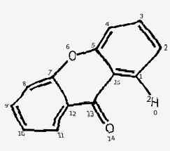 [2H]c1cccc2oc3ccccc3c(=O)c12